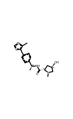 Cc1ncsc1-c1ccc([C@H](C)NC(=O)[C@@H]2C[C@@H](O)CN2C)cc1